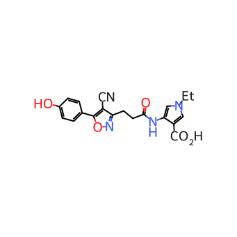 CCn1cc(NC(=O)CCc2noc(-c3ccc(O)cc3)c2C#N)c(C(=O)O)c1